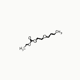 CCCCOCCOC(=O)OCC